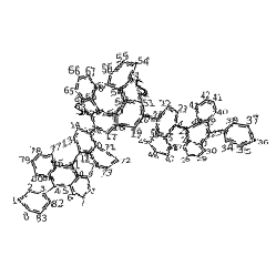 c1ccc(-c2c3ccccc3c(-c3ccc(-c4cc5cc(-c6ccc(-c7c8ccccc8c(-c8ccccc8)c8ccccc78)c7ccccc67)c6sc7ccccc7c6c5c5c4sc4ccccc45)c4ccccc34)c3ccccc23)cc1